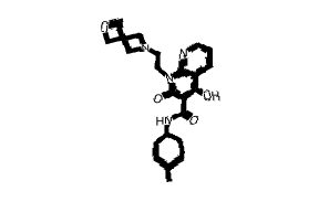 CC1CCC(NC(=O)c2c(O)c3cccnc3n(CCN3CC4(COC4)C3)c2=O)CC1